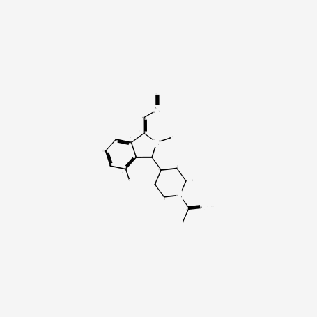 C=N/C=C1/c2cccc(F)c2C(C2CCN(C(C)=O)CC2)N1C